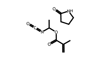 C=C(C)C(=O)OC(C)N=C=O.O=C1CCCN1